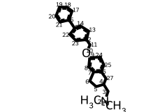 CN(C)CC1CCc2cc(OCc3ccc(-c4ccccc4)cc3)ccc2C1